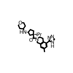 Cc1cc2c(c(-c3nnc[nH]3)c1)CCN(C(=O)[C@@]1(C(C)C)CC[C@@H](NC3CCOCC3)C1)C2